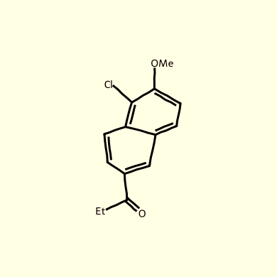 CCC(=O)c1ccc2c(Cl)c(OC)ccc2c1